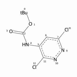 CC(C)(C)OC(=O)Nc1cc(Cl)nnc1Cl